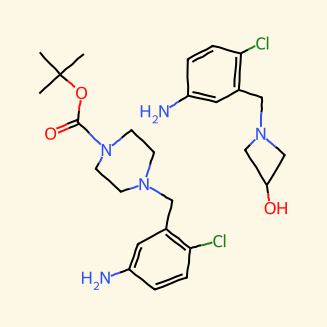 CC(C)(C)OC(=O)N1CCN(Cc2cc(N)ccc2Cl)CC1.Nc1ccc(Cl)c(CN2CC(O)C2)c1